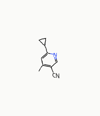 Cc1cc(C2CC2)ncc1C#N